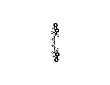 Cn1c2ccccc2c2ccc3c(c21)C(=O)N(CCNCCCNCCN1C(=O)c2ccc4c5ccccc5n(C)c4c2C1=O)C3=O